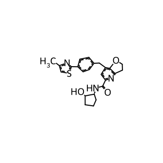 Cc1csc(-c2ccc(Cc3cc(C(=O)N[C@H]4CCC[C@@H]4O)nc4c3OCC4)cc2)n1